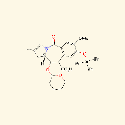 COc1cc2c(cc1O[Si](C(C)C)(C(C)C)C(C)C)C(C(=O)O)C(OC1CCCCO1)[C@@H]1CC(C)=CN1C2=O